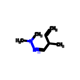 C=CC(C)/C=N\N(C)C